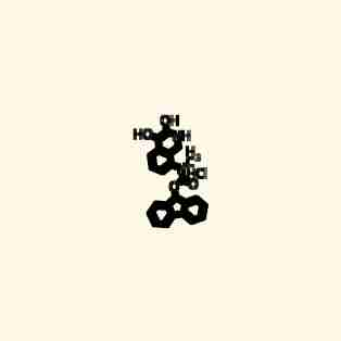 CN(C(=O)OC1c2ccccc2-c2ccccc21)c1cccc2c1CNC(O)=C2O.Cl